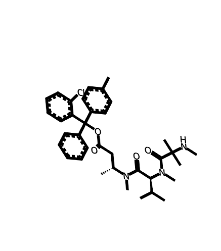 CNC(C)(C)C(=O)N(C)[C@H](C(=O)N(C)[C@H](C)CC(=O)OC(c1ccccc1)(c1ccc(C)cc1)c1ccccc1Cl)C(C)C